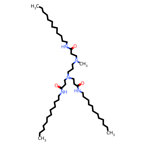 CCCCCCCCCCCCNC(=O)CCN(C)CCCN(CCC(=O)NCCCCCCCCCCCC)CCC(=O)NCCCCCCCCCCCC